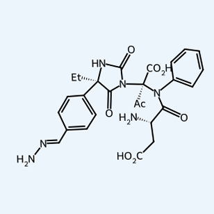 CC[C@]1(c2ccc(C=NN)cc2)NC(=O)N([C@@](C(C)=O)(C(=O)O)N(C(=O)[C@@H](N)CC(=O)O)c2ccccc2)C1=O